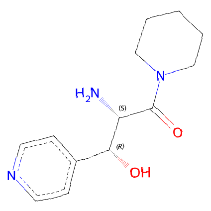 N[C@H](C(=O)N1CCCCC1)[C@H](O)c1ccncc1